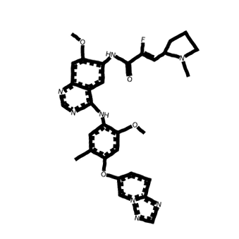 COc1cc2ncnc(Nc3cc(C)c(Oc4ccc5ncnn5c4)cc3OC)c2cc1NC(=O)C(F)=CC1CCCN1C